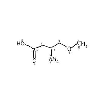 COC[C@@H](N)CC(=O)O